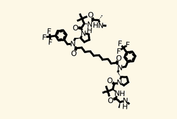 CN[C@@H](C)C(=O)N[C@H](C(=O)N1CCC[C@H]1CN(Cc1cccc(C(F)(F)F)c1)C(=O)CCCCCCCCC(=O)N(Cc1cccc(C(F)(F)F)c1)C[C@@H]1CCCN1C(=O)[C@@H](NC(=O)[C@H](C)NC)C(C)(C)C)C(C)(C)C